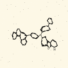 C1=Cc2c(oc3ccc(N(c4ccc(-c5ccccc5)cc4)c4ccc(-c5cc6ccc7ccccc7c6c6ccccc56)cc4)cc23)NC1